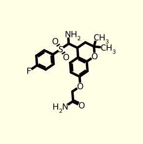 CC1(C)CC(C(N)S(=O)(=O)c2ccc(F)cc2)c2ccc(OCC(N)=O)cc2O1